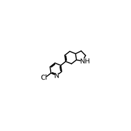 Clc1ccc(C2=CCC3CCNC3C2)cn1